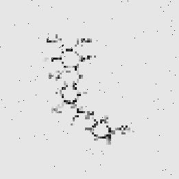 COC1=C(OC)C(=O)C(Cc2ccc(O)c(C(=O)Nc3ccnc(OC)c3)c2)=C(C)C1=O